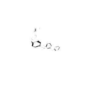 c1ccc(Sc2cccc(Sc3ccc(COC[C@@H]4CO4)cc3)c2)cc1